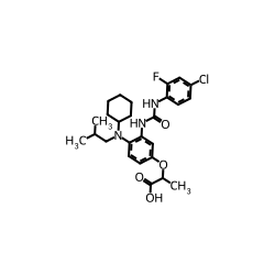 CC(C)CN(c1ccc(OC(C)C(=O)O)cc1NC(=O)Nc1ccc(Cl)cc1F)C1CCCCC1